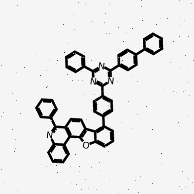 c1ccc(-c2ccc(-c3nc(-c4ccccc4)nc(-c4ccc(-c5cccc6oc7c(ccc8c(-c9ccccc9)nc9ccccc9c87)c56)cc4)n3)cc2)cc1